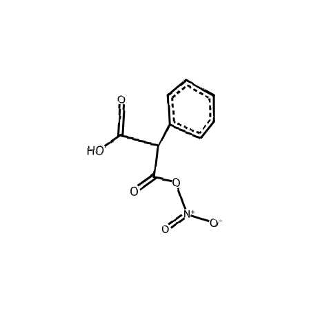 O=C(O)C(C(=O)O[N+](=O)[O-])c1ccccc1